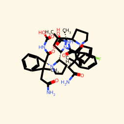 CC1C[C@@H](C2CCCN2[C@@]2(C(=O)NC(=O)O)c3cccc(c3)C2(C)CC(N)=O)N(c2ccc(F)cc2)[C@]1(C)C1CCCN1[C@@]1(C(=O)NC(=O)O)c2cccc(c2)C1(C)CC(N)=O